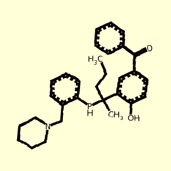 CCCC(C)(Pc1ccccc1CN1CCCCC1)c1cc(C(=O)c2ccccc2)ccc1O